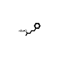 CCCCOC(C)CCCc1cc[c]cc1